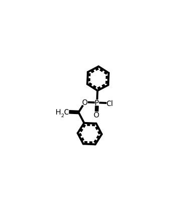 C=C(OP(=O)(Cl)c1ccccc1)c1ccccc1